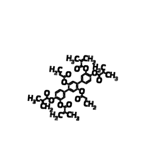 C=CC(=O)Oc1cc(-c2ccc(OC(=O)C(=C)C)c(OC(=O)C(=C)C)c2)c(OC(=O)C=C)cc1-c1ccc(OC(=O)C(=C)C)c(OC(=O)C(=C)C)c1